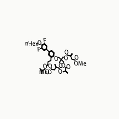 C=C(C)C(=O)OCCCc1cc(-c2cc(F)c(OCCCCCC)c(F)c2)ccc1OCC(COC(=O)C(=C)C)(COC(=O)C(=C)CC(=O)OC)COC(=O)C(=C)CC(=O)OC